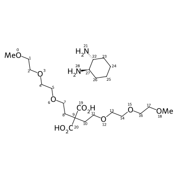 COCCOCCOCCC(CCOCCOCCOC)(C(=O)O)C(=O)O.N[C@@H]1CCCC[C@H]1N